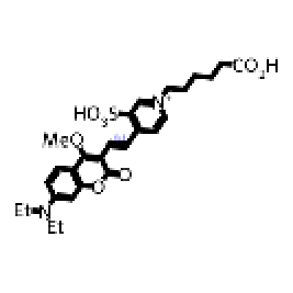 CCN(CC)c1ccc2c(OC)c(/C=C/c3cc[n+](CCCCCC(=O)O)cc3S(=O)(=O)O)c(=O)oc2c1